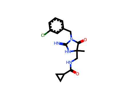 CC1(CNC(=O)C2CC2)NC(=N)N(Cc2cccc(Cl)c2)C1=O